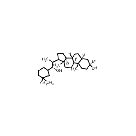 CC[C@]1(O)CC[C@@]2(C)[C@@H](CC[C@@H]3[C@@H]2CC[C@]2(C)[C@@H]([C@H](C)[C@H](O)C4CCCC(C)(C)C4)CC[C@@H]32)C1